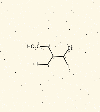 CCC(I)C(CI)CC(=O)O